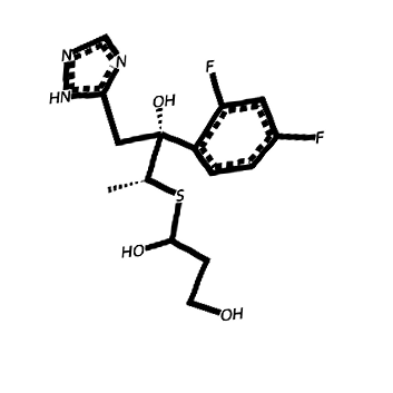 C[C@@H](SC(O)CCO)[C@@](O)(Cc1ncn[nH]1)c1ccc(F)cc1F